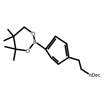 CCCCCCCCCCCCc1ccc(B2OCC(C)(C)C(C)(C)O2)cc1